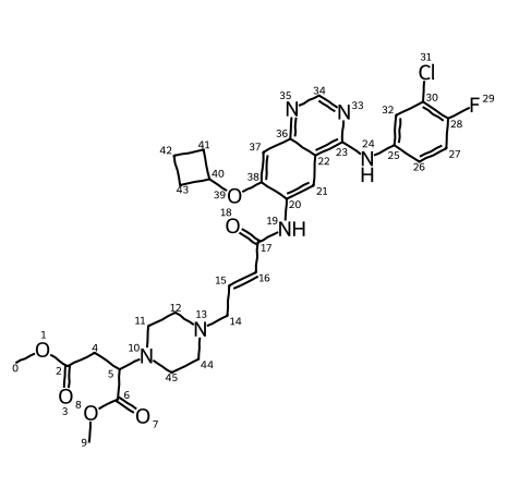 COC(=O)CC(C(=O)OC)N1CCN(CC=CC(=O)Nc2cc3c(Nc4ccc(F)c(Cl)c4)ncnc3cc2OC2CCC2)CC1